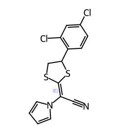 N#C/C(=C1/SCC(c2ccc(Cl)cc2Cl)S1)n1cccc1